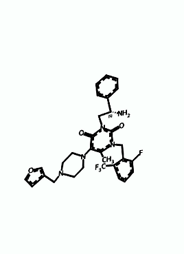 Cc1c(N2CCN(Cc3ccoc3)CC2)c(=O)n(C[C@@H](N)c2ccccc2)c(=O)n1Cc1c(F)cccc1C(F)(F)F